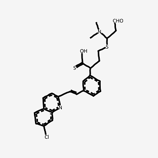 CN(C)C(CC=O)SCCC(C(O)=S)c1cccc(C=Cc2ccc3ccc(Cl)cc3n2)c1